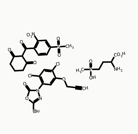 C#CCOc1cc(-n2nc(C(C)(C)C)oc2=O)c(Cl)cc1Cl.CP(=O)(O)CCC(N)C(=O)O.CS(=O)(=O)c1ccc(C(=O)C2C(=O)CCCC2=O)c([N+](=O)[O-])c1